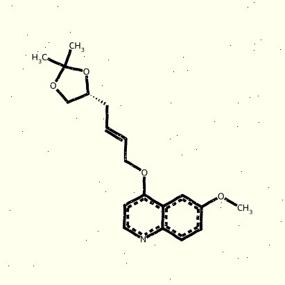 COc1ccc2nccc(OC/C=C/C[C@@H]3COC(C)(C)O3)c2c1